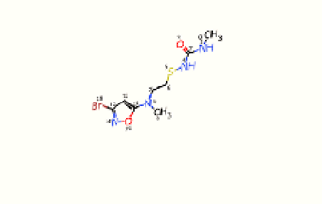 CNC(=O)NSCCN(C)c1cc(Br)no1